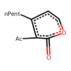 CCCCCc1ccoc(=O)c1C(C)=O